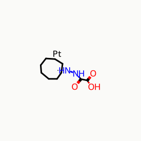 C1CCCCCCC1.[NH]NC(=O)C(=O)O.[Pt]